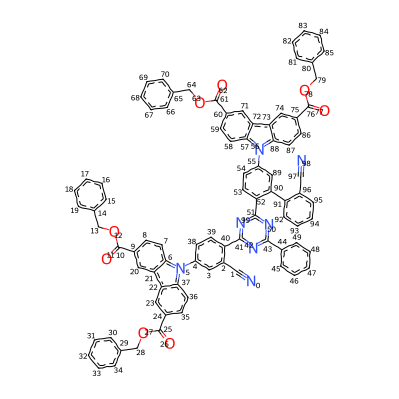 N#Cc1cc(-n2c3ccc(C(=O)OCc4ccccc4)cc3c3cc(C(=O)OCc4ccccc4)ccc32)ccc1-c1nc(-c2ccccc2)nc(-c2ccc(-n3c4ccc(C(=O)OCc5ccccc5)cc4c4cc(C(=O)OCc5ccccc5)ccc43)cc2-c2ccccc2C#N)n1